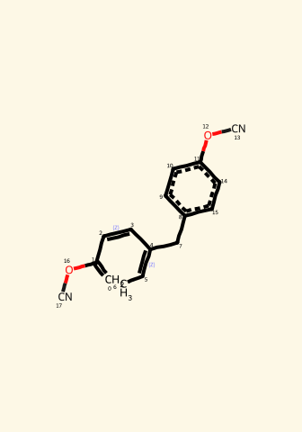 C=C(/C=C\C(=C/C)Cc1ccc(OC#N)cc1)OC#N